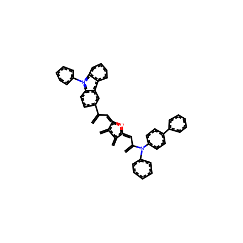 C=C(/C=c1/o/c(=C/C(=C)N(c2ccccc2)c2ccc(-c3ccccc3)cc2)c(=C)c1=C)c1ccc2c(c1)c1ccccc1n2-c1ccccc1